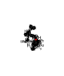 C/C(=C\C(C(C)C)N(C)C(=O)C(NC(=O)C(N(C)C(=O)OC(C)(C)C)C(C)(C)c1ccccc1)C(C)(C)C)C(=O)NS(=O)(=O)Cc1ccc(NC(=O)C(CCCCN(C)C(=O)OC(C)(C)C)NC(=O)C(Cc2ccccc2)NC(=O)OCC2c3ccccc3-c3ccccc32)cc1